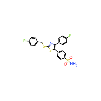 NS(=O)(=O)c1ccc(-c2sc(SCc3ccc(F)cc3)nc2-c2ccc(F)cc2)cc1